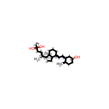 C=C1CC[C@H](O)C/C1=C/C=C1\CCC[C@@]2(C)C1CC[C@@H]2[C@H](C)CCC(O)(O)C(C)C